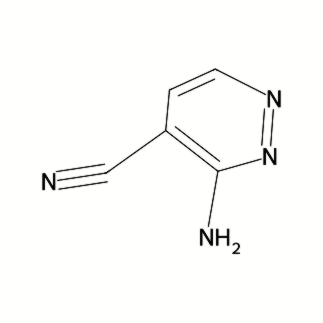 N#Cc1ccnnc1N